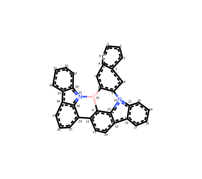 c1ccc2cc3c(cc2c1)B1c2c(ccc4c5ccccc5n-3c24)-c2cccc3c4ccccc4n1c23